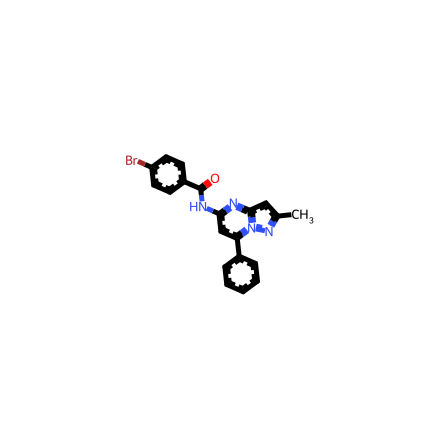 Cc1cc2nc(NC(=O)c3ccc(Br)cc3)cc(-c3ccccc3)n2n1